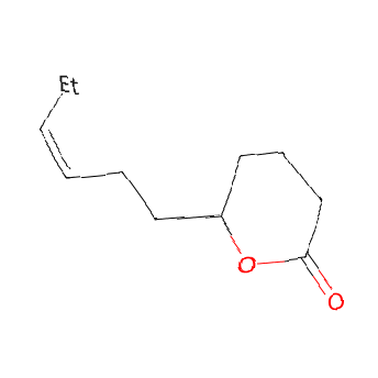 CC/C=C\CCC1CCCC(=O)O1